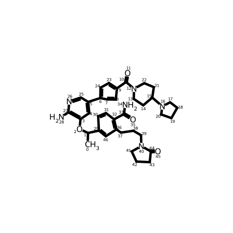 CC(Oc1cc(-c2ccc(C(=O)N3CCC(N4CCCC4)CC3)cc2)cnc1N)c1ccc(C(N)=O)c(CCCN2CCCC2=O)c1